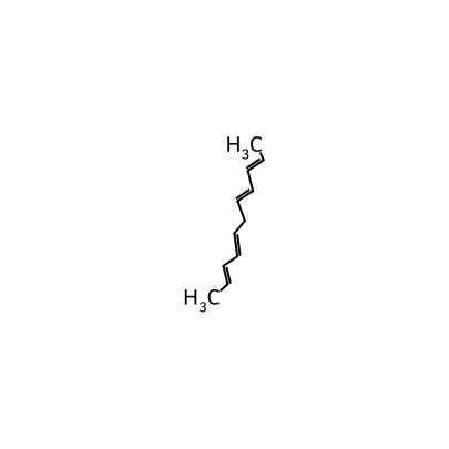 CC=CC=CCC=CC=CC